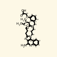 CCCCc1nc2c(N)nc3ccccc3c2n1CCCN(Cc1cccc(OCC(=O)O)c1)C(=O)CN(C)CC